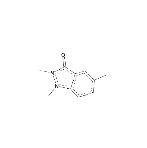 Cc1ccc2c(c1)c(=O)n(C)n2C